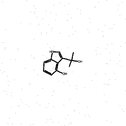 CC(C)(O)c1c[nH]c2cccc(O)c12